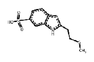 CSCCc1nc2ccc(S(=O)(=O)O)cc2[nH]1